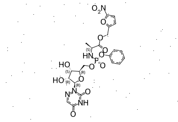 C[C@H](NP(=O)(OC[C@H]1O[C@@H](n2ncc(=O)[nH]c2=O)[C@H](O)[C@@H]1O)Oc1ccccc1)C(=O)OCc1ccc([N+](=O)[O-])o1